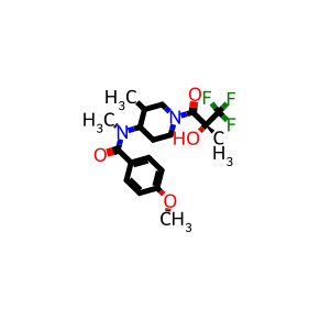 COc1ccc(C(=O)N(C)C2CCN(C(=O)[C@@](C)(O)C(F)(F)F)CC2C)cc1